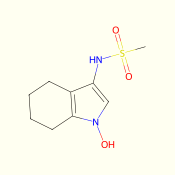 CS(=O)(=O)Nc1cn(O)c2c1CCCC2